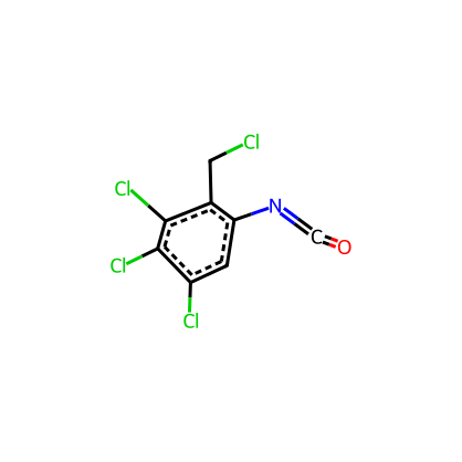 O=C=Nc1cc(Cl)c(Cl)c(Cl)c1CCl